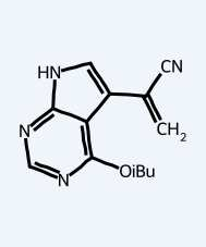 C=C(C#N)c1c[nH]c2ncnc(OCC(C)C)c12